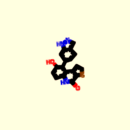 O=c1[nH]c2ccc(O)c(-c3ccc4cn[nH]c4c3)c2c2ccsc12